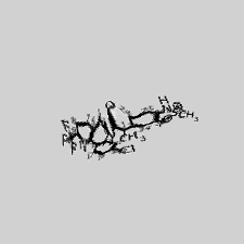 CC(C(=O)NCc1ccc(C(F)(F)F)nc1-c1ccc(Cl)cc1)c1ccc(NS(C)(=O)=O)c(F)c1